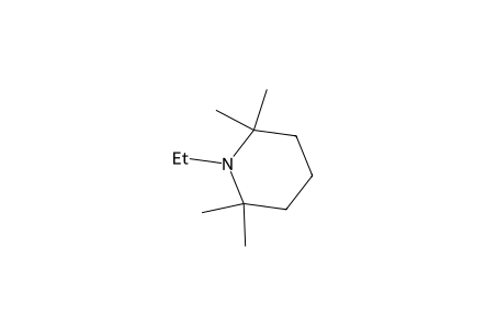 [CH2]CN1C(C)(C)CCCC1(C)C